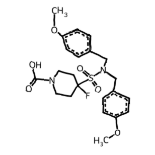 COc1ccc(CN(Cc2ccc(OC)cc2)S(=O)(=O)C2(F)CCN(C(=O)O)CC2)cc1